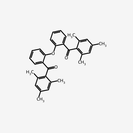 Cc1cc(C)c(C(=O)c2ccccc2Oc2ccccc2C(=O)c2c(C)cc(C)cc2C)c(C)c1